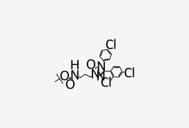 CC(C)(C)OC(=O)NCCCn1nc(-c2ccc(Cl)cc2Cl)n(-c2ccc(Cl)cc2)c1=O